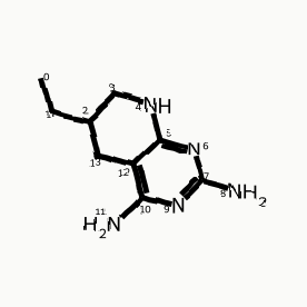 C[CH]C1CNc2nc(N)nc(N)c2C1